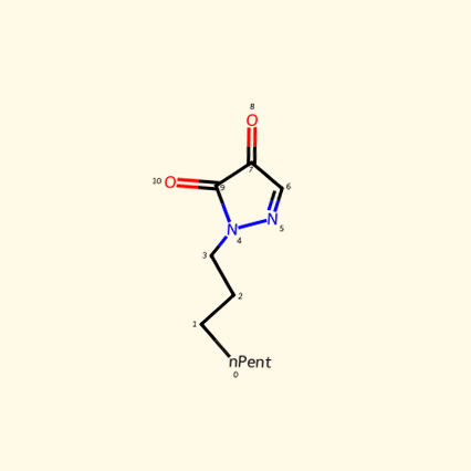 CCCCCCCCN1N=CC(=O)C1=O